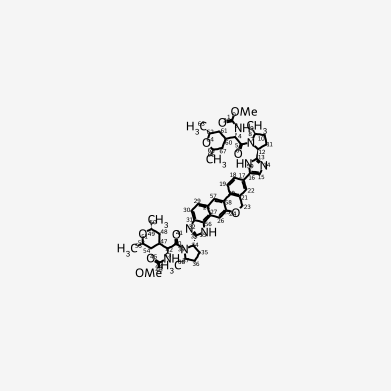 COC(=O)N[C@H](C(=O)N1[C@@H](C)CC[C@H]1c1ncc(-c2ccc3c(c2)COc2cc4c(ccc5nc([C@@H]6CC[C@H](C)N6C(=O)[C@@H](NC(=O)OC)C6C[C@@H](C)O[C@H](C)C6)[nH]c54)cc2-3)[nH]1)C1C[C@@H](C)O[C@H](C)C1